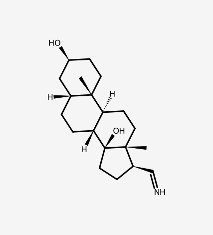 C[C@]12CC[C@H](O)C[C@H]1CC[C@@H]1[C@@H]2CC[C@]2(C)[C@@H](C=N)CC[C@]12O